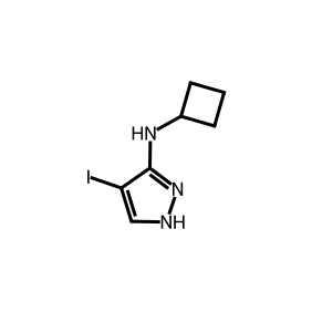 Ic1c[nH]nc1NC1CCC1